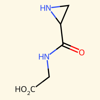 O=C(O)CNC(=O)C1CN1